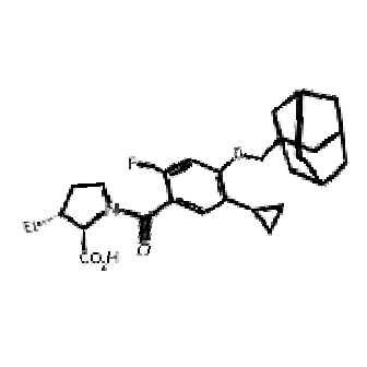 CC[C@@H]1CCN(C(=O)c2cc(C3CC3)c(OCC34CC5CC(CC(C5)C3)C4)cc2F)[C@H]1C(=O)O